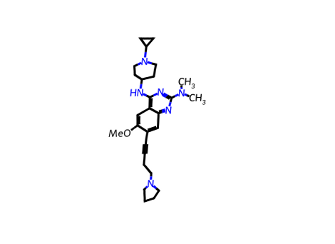 COc1cc2c(NC3CCN(C4CC4)CC3)nc(N(C)C)nc2cc1C#CCCN1CCCC1